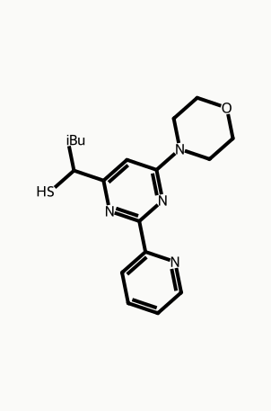 CCC(C)C(S)c1cc(N2CCOCC2)nc(-c2ccccn2)n1